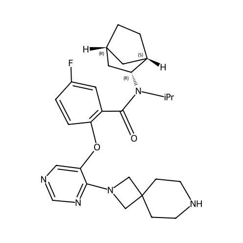 CC(C)N(C(=O)c1cc(F)ccc1Oc1cncnc1N1CC2(CCNCC2)C1)[C@@H]1C[C@@H]2CC[C@H]1C2